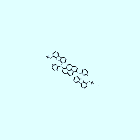 Cc1ccc(C)c(N(c2ccc3ccc4c(N(c5cc(C)ccc5C)c5cccc6c5oc5c(CC(C)(C)C)cccc56)ccc5ccc2c3c54)c2cccc3c2oc2c(CC(C)(C)C)cccc23)c1